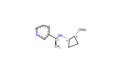 CO[C@@H]1CC[C@@H]1N[C@@H](C)c1cccnc1